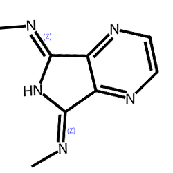 C/N=C1\N/C(=N\C)c2nccnc21